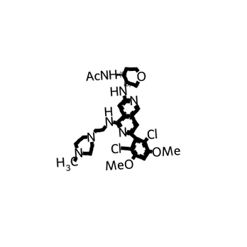 COc1cc(OC)c(Cl)c(-c2cc3cnc(N[C@@H]4COCC[C@@H]4NC(C)=O)cc3c(NCCN3CCN(C)CC3)n2)c1Cl